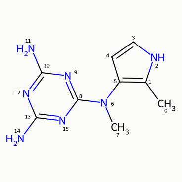 Cc1[nH]ccc1N(C)c1nc(N)nc(N)n1